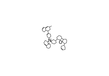 CC1C=C2C=CCCC2C(C2=CCC(N(C3CCCC(C4CCCC5C6CCCC(C7CC=CCC7)C6OC45)C3)C3CCC=C4CCCCC43C)CC2)C1